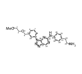 COCCOCc1cccc(-n2nnc3cnc(Nc4ccc(CCN)cc4)nc32)c1